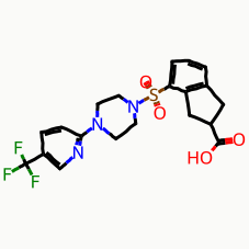 O=C(O)C1Cc2cccc(S(=O)(=O)N3CCN(c4ccc(C(F)(F)F)cn4)CC3)c2C1